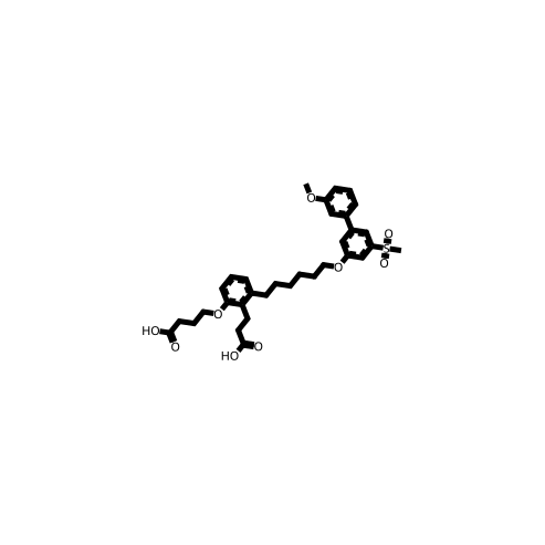 COc1cccc(-c2cc(OCCCCCCc3cccc(OCCCC(=O)O)c3CCC(=O)O)cc(S(C)(=O)=O)c2)c1